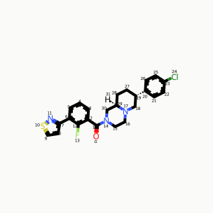 O=C(c1cccc(-c2ccsn2)c1F)N1CCN2C[C@@H](c3ccc(Cl)cc3)CC[C@@H]2C1